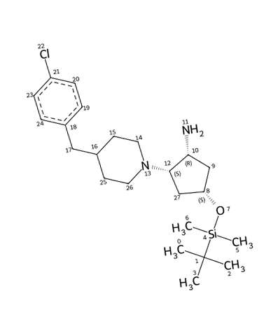 CC(C)(C)[Si](C)(C)O[C@H]1C[C@@H](N)[C@@H](N2CCC(Cc3ccc(Cl)cc3)CC2)C1